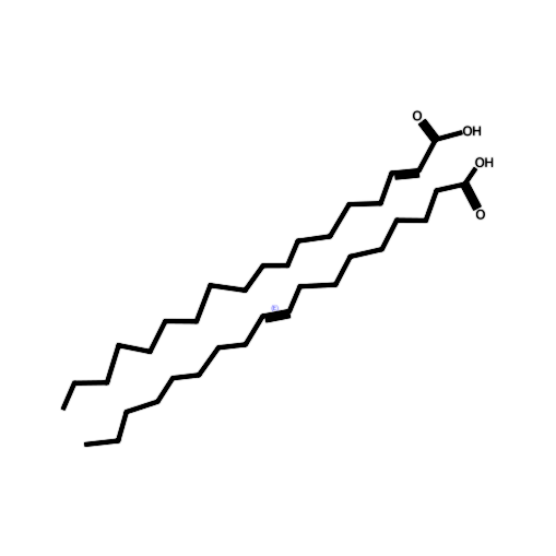 CCCCCCCC/C=C/CCCCCCCC(=O)O.CCCCCCCCCCCCCCCC=CC(=O)O